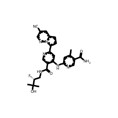 Cc1cc(Nc2cc(-c3ccc4cc(C#N)cnn34)ncc2C(=O)NC[C@@H](F)C(C)(C)O)ncc1C(N)=O